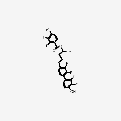 CCCc1ccc(C(=O)OC(CCC)CCCc2ccc(-c3ccc(O)c(F)c3F)c(F)c2F)c(F)c1F